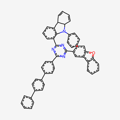 C1=CC2c3cccc(-c4nc(-c5ccc(-c6ccc(-c7ccccc7)cc6)cc5)nc(-c5ccc6oc7ccccc7c6c5)n4)c3N(c3ccccc3)C2C=C1